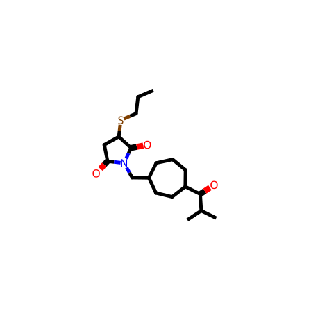 CCCSC1CC(=O)N(CC2CCCC(C(=O)C(C)C)CC2)C1=O